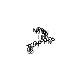 Cc1cc(C)c(C(C)(C)CC(=O)Sc2ccc(Sc3ccc(C(=O)N[C@@H](C)c4ccccc4)cc3Nc3ncnc4nc(C(C)C)ccc34)cc2)c(OP(=O)([O-])[O-])c1.[Na+].[Na+]